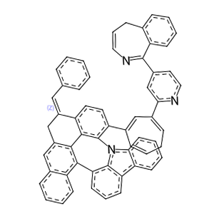 C1=CC(c2ccc3c4c2-n2c5ccccc5c5cccc(c52)-c2c-4c(cc4ccccc24)C/C3=C/c2ccccc2)=CC(c2cc(C3=NC=CCc4ccccc43)ccn2)=CC1